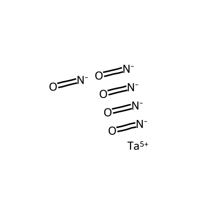 [N-]=O.[N-]=O.[N-]=O.[N-]=O.[N-]=O.[Ta+5]